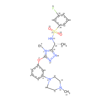 CCn1c(Oc2cccc(N3CCN(C)CC3)c2)nnc1[C@@H](C)NS(=O)(=O)c1cccc(F)c1